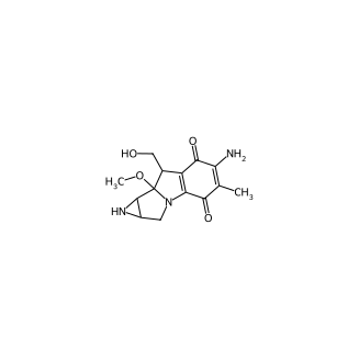 COC12C(CO)C3=C(C(=O)C(C)=C(N)C3=O)N1CC1NC12